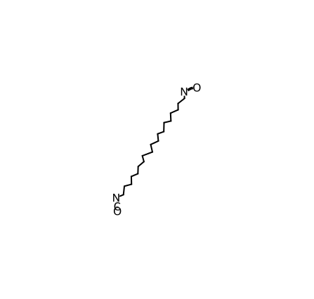 O=C=NCCCCCCCCCCCCCCCCCCCN=C=O